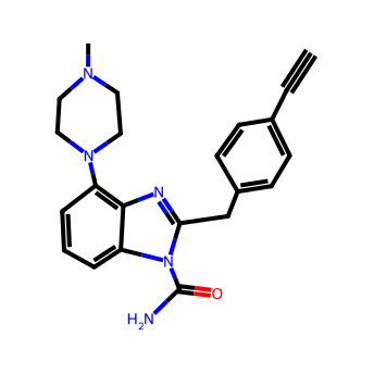 C#Cc1ccc(Cc2nc3c(N4CCN(C)CC4)cccc3n2C(N)=O)cc1